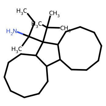 CCC(C)(N)C1(C(C)(C)C)C2CCCCCCCC2C2CCCCCCCC21